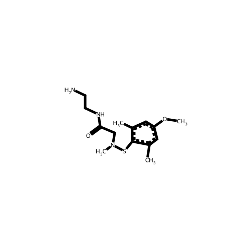 COc1cc(C)c(SN(C)CC(=O)NCCN)c(C)c1